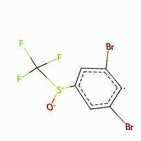 [O-][S+](c1cc(Br)[c]c(Br)c1)C(F)(F)F